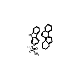 NS(N)(=O)=O.c1ccc2c(c1)[nH]c1cnccc12.c1ccc2c(c1)ccc1c3c(ccc12)CCCC3